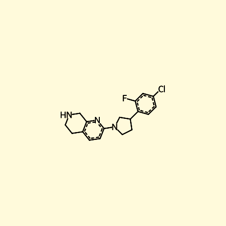 Fc1cc(Cl)ccc1C1CCN(c2ccc3c(n2)CNCC3)C1